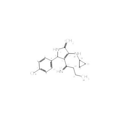 C=C1NC(c2ccc(Cl)cc2)C(C(=N)CCC)=C1NC1CC1